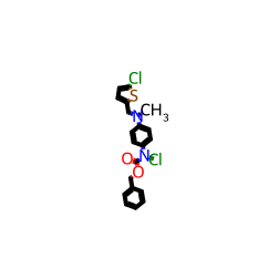 CN(Cc1ccc(Cl)s1)c1ccc(N(Cl)C(=O)OCc2ccccc2)cc1